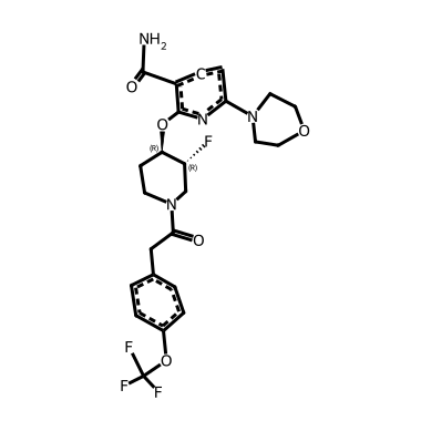 NC(=O)c1ccc(N2CCOCC2)nc1O[C@@H]1CCN(C(=O)Cc2ccc(OC(F)(F)F)cc2)C[C@H]1F